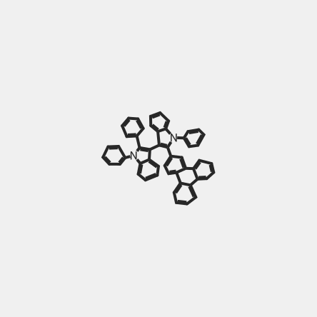 c1ccc(-c2c(-c3c(-c4ccc5c6ccccc6c6ccccc6c5c4)n(-c4ccccc4)c4ccccc34)c3ccccc3n2-c2ccccc2)cc1